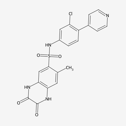 Cc1cc2[nH]c(=O)c(=O)[nH]c2cc1S(=O)(=O)Nc1ccc(-c2ccncc2)c(Cl)c1